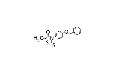 C=C1SC(=S)N(c2ccc(OCc3ccccc3)cc2)C1=O